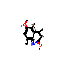 COc1cc(C)c2[nH]c(=O)cc(C)c2c1Br